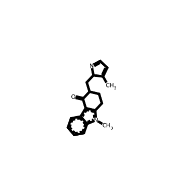 CC1=CC=NC1CC1CCc2c(c3ccccc3n2C)C1=O